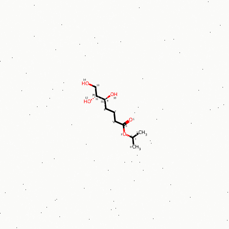 CC(C)OC(=O)CCC[C@H](O)[C@H](O)CO